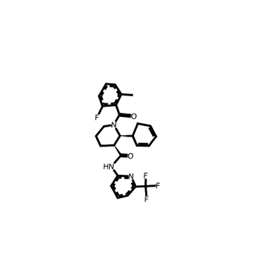 Cc1cccc(F)c1C(=O)N1CCC[C@H](C(=O)Nc2cccc(C(F)(F)F)n2)[C@@H]1C1C=CC=CC1